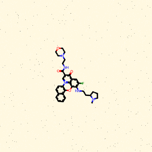 CN1CCCC1CCNc1c(F)cc2c(=O)c(C(=O)NCCN3CCOCC3)cn3c2c1Oc1c-3ccc2ccccc12